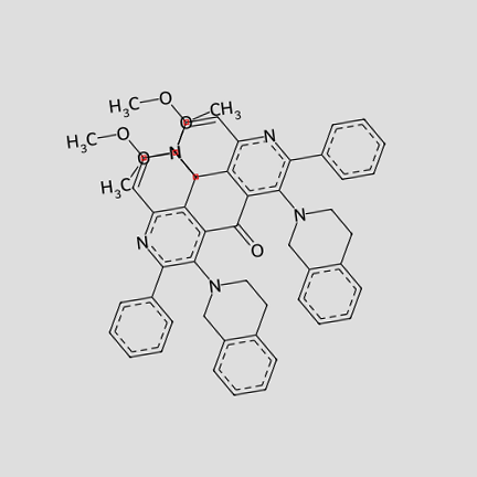 COC1=Cc2nc(-c3ccccc3)c(N3CCc4ccccc4C3)c(C(=O)c3c4c(nc(-c5ccccc5)c3N3CCc5ccccc5C3)C=C(OC)N(OC)C4)c2CN1OC